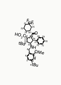 COc1nc(C(C)(C)C)ccc1CN[C@H]1[C@H](C(C)(C)C)[C@@H](C(=O)O)N(C(=O)[C@@H]2CCCC(F)(F)C2)[C@H]1c1ccccc1